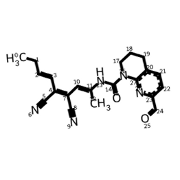 CC/C=C/C(C#N)=C(C#N)\C=C(/C)NC(=O)N1CCCc2ccc(C=O)nc21